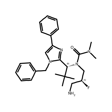 CN(C)C(=O)N(C[C@@H](F)CN)[C@@H](c1nc(-c2ccccc2)cn1Cc1ccccc1)C(C)(C)C